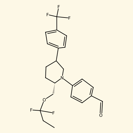 CCC(F)(F)OC[C@@H]1CCC(c2ccc(C(F)(F)F)cc2)CN1c1ccc(C=O)cc1